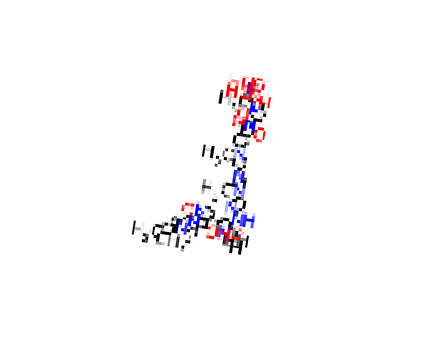 [2H]C([2H])([2H])Oc1ncc(-c2ccnc(N3CCn4c(cc5c4CC(C)(C)C5)C3=O)c2[C@H](C)O)cc1Nc1ccc(N2CCN(C3CCN(c4ccc5c(c4)C(=O)N(C4CCC(=O)N(C(C)OP(=O)(O)O)C4=O)C5=O)[C@H](C)C3)C[C@@H]2C)cn1